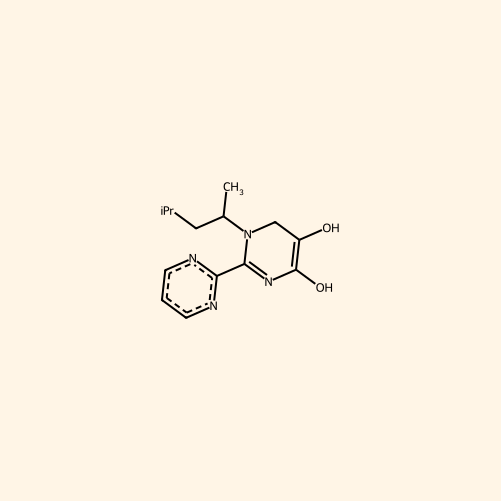 CC(C)CC(C)N1CC(O)=C(O)N=C1c1ncccn1